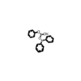 OB(Oc1ccccc1)ON(c1ccccc1)c1ccccc1